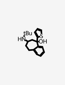 CC(C)(C)NC1CCc2ccccc2C(O)(c2cccs2)C1